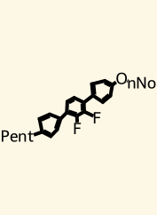 CCCCCCCCCOc1ccc(-c2ccc(-c3ccc(CCCCC)cc3)c(F)c2F)cc1